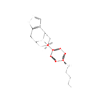 O=C(O)CCCNc1ccc(C2CC3Cc4[nH]ncc4C(C2)N3S(=O)(=O)c2ccc(C(F)(F)F)cc2)cc1